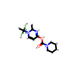 CC1N=C(OC(=O)N2CCCCC2)C=CN1C(C)(F)F